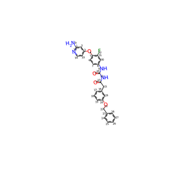 Nc1cc(Oc2ccc(NC(=O)NC(=O)Cc3cccc(OCc4ccccc4)c3)cc2F)ccn1